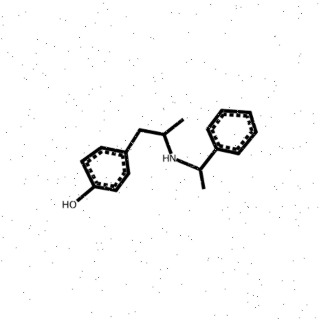 CC(Cc1ccc(O)cc1)NC(C)c1ccccc1